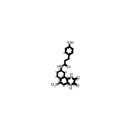 O=C(CCc1ccc(O)cc1)NC1CCc2c([N+](=O)[O-])cc3[nH]c(=O)c(=O)[nH]c3c2C1